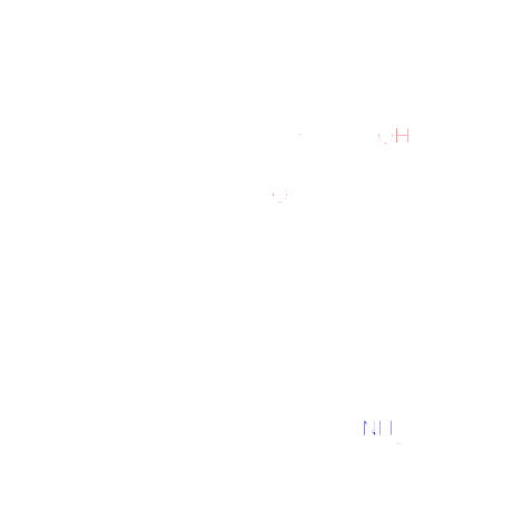 NCC#Cc1cccc2c1O[C@@H](CO)CC2